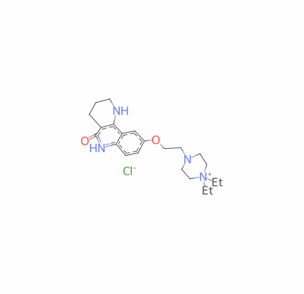 CC[N+]1(CC)CCN(CCOc2ccc3[nH]c(=O)c4c(c3c2)NCCC4)CC1.[Cl-]